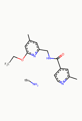 CC(C)(C)N.Cc1cc(CNC(=O)c2ccnc(C)c2)nc(OCC(F)(F)F)c1